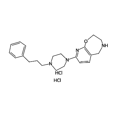 Cl.Cl.c1ccc(CCCN2CCN(c3ccc4c(n3)OCCNC4)CC2)cc1